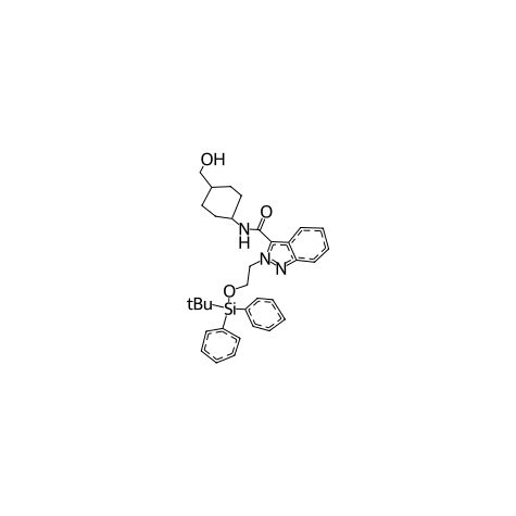 CC(C)(C)[Si](OCCn1nc2ccccc2c1C(=O)NC1CCC(CO)CC1)(c1ccccc1)c1ccccc1